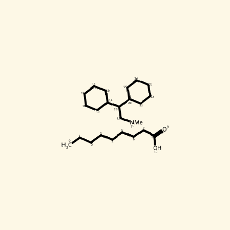 CCCCCCCCC(=O)O.CNCC(C1CCCCC1)C1CCCCC1